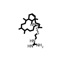 CCCC1C(C(C)CCC(C)C(C)CCCCC(C)C)CC=CC1(C)CCC(C)SSCCNC(=N)N